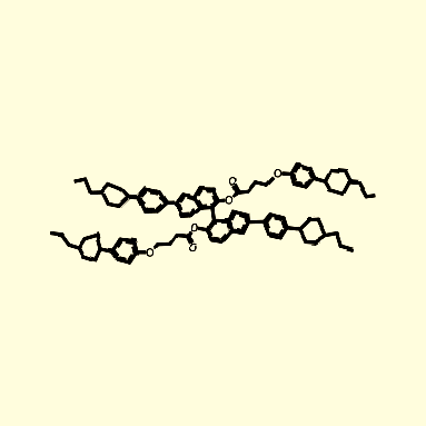 CCCC1CCC(c2ccc(OCCCC(=O)Oc3ccc4cc(-c5ccc(C6CCC(CCC)CC6)cc5)ccc4c3-c3c(OC(=O)CCCOc4ccc(C5CCC(CCC)CC5)cc4)ccc4cc(-c5ccc(C6CCC(CCC)CC6)cc5)ccc34)cc2)CC1